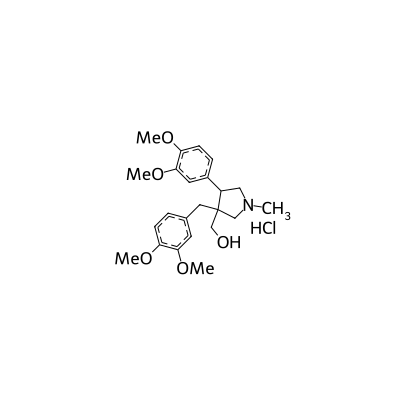 COc1ccc(CC2(CO)CN(C)CC2c2ccc(OC)c(OC)c2)cc1OC.Cl